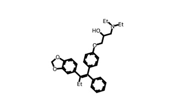 CC/C(=C(\c1ccccc1)c1ccc(OCC(O)CN(CC)CC)cc1)c1ccc2c(c1)OCO2